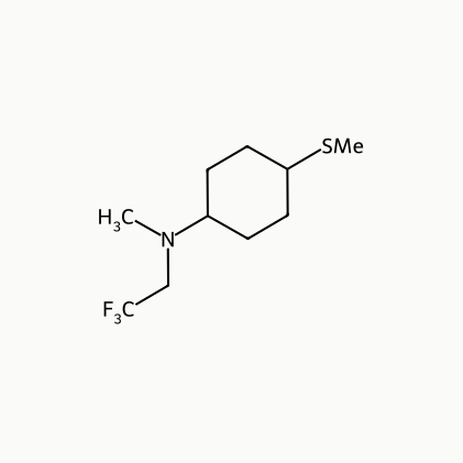 CSC1CCC(N(C)CC(F)(F)F)CC1